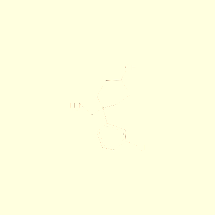 NCC1(c2cccc(Cl)c2)CCC(O)CC1